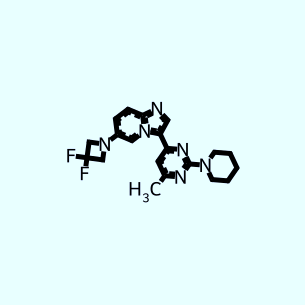 Cc1cc(-c2cnc3ccc(N4CC(F)(F)C4)cn23)nc(N2CCCCC2)n1